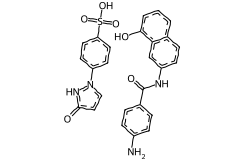 Nc1ccc(C(=O)Nc2ccc3cccc(O)c3c2)cc1.O=c1ccn(-c2ccc(S(=O)(=O)O)cc2)[nH]1